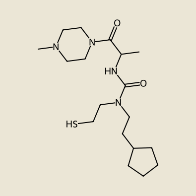 CC(NC(=O)N(CCS)CCC1CCCC1)C(=O)N1CCN(C)CC1